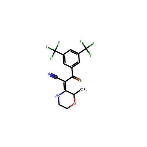 CC1OCCN/C1=C(\C#N)C(=S)c1cc(C(F)(F)F)cc(C(F)(F)F)c1